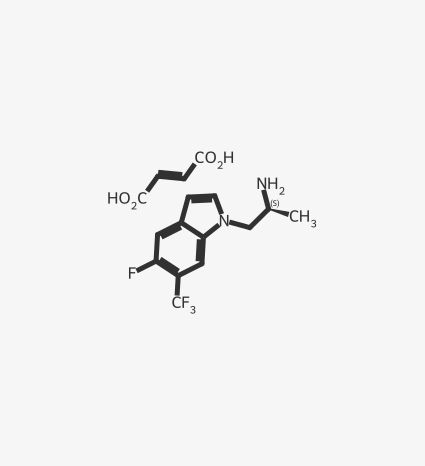 C[C@H](N)Cn1ccc2cc(F)c(C(F)(F)F)cc21.O=C(O)C=CC(=O)O